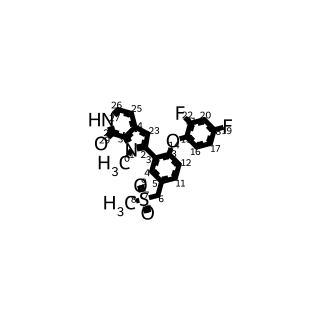 Cn1c(-c2cc(CS(C)(=O)=O)ccc2Oc2ccc(F)cc2F)cc2cc[nH]c(=O)c21